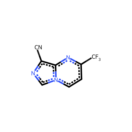 N#Cc1ncn2ccc(C(F)(F)F)nc12